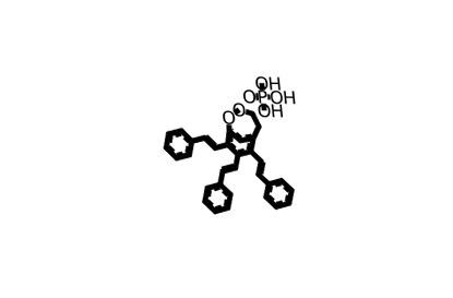 C(=Cc1c2cc(c(C=Cc3ccccc3)c1C=Cc1ccccc1)OOCC2)c1ccccc1.O=P(O)(O)O